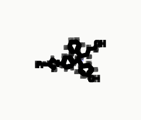 CC(C)C1CN(c2ccc(/C(=C(/CCCO)c3ccccc3)c3ccc(O)cc3)cc2)C1